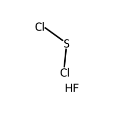 ClSCl.F